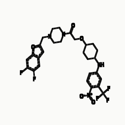 O=C(COC1CCC(Nc2ccc([N+](=O)[O-])c(C(F)(F)F)c2)CC1)N1CCN(Cc2cc3cc(F)c(F)cc3o2)CC1